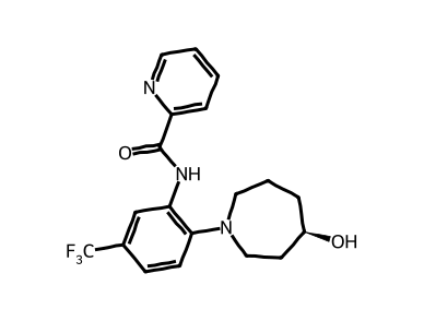 O=C(Nc1cc(C(F)(F)F)ccc1N1CCC[C@@H](O)CC1)c1ccccn1